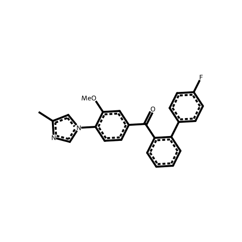 COc1cc(C(=O)c2ccccc2-c2ccc(F)cc2)ccc1-n1cnc(C)c1